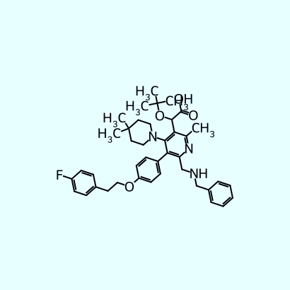 Cc1nc(CNCc2ccccc2)c(-c2ccc(OCCc3ccc(F)cc3)cc2)c(N2CCC(C)(C)CC2)c1C(OC(C)(C)C)C(=O)O